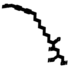 CCCCCCCCCCC#CC#CCCCCCCCCC(=O)NCC(O)CO